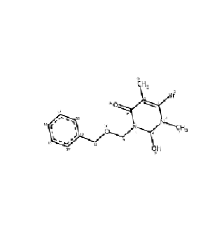 CC1=C(Br)N(C)C(O)N(COCc2ccccc2)C1=O